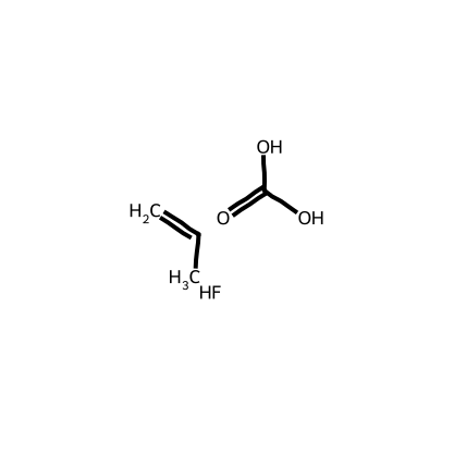 C=CC.F.O=C(O)O